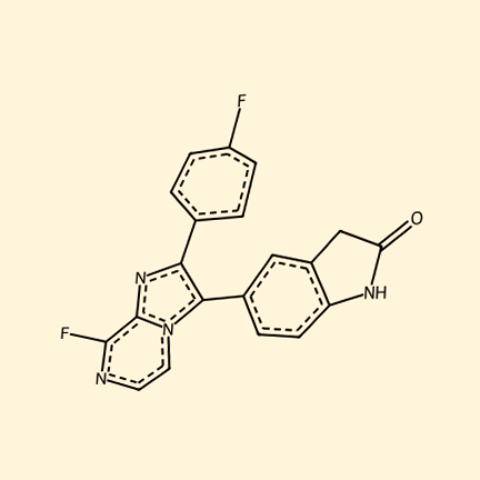 O=C1Cc2cc(-c3c(-c4ccc(F)cc4)nc4c(F)nccn34)ccc2N1